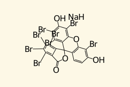 O=C1OC2(c3ccc(O)c(Br)c3Oc3c(Br)c(O)c(Br)c(Br)c32)c2c(Br)c(Br)c(Br)c(Br)c21.[NaH]